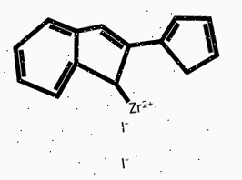 [I-].[I-].[Zr+2][CH]1C(C2=CC=CC2)=Cc2ccccc21